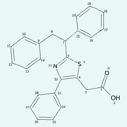 O=C(O)Cc1sc(C(Cc2ccccc2)c2ccccc2)nc1-c1ccccc1